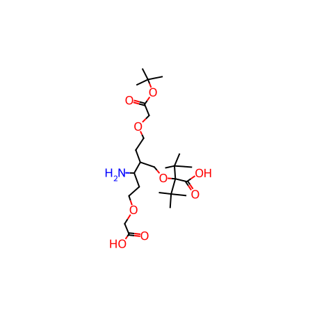 CC(C)(C)OC(=O)COCCC(COC(C(=O)O)(C(C)(C)C)C(C)(C)C)C(N)CCOCC(=O)O